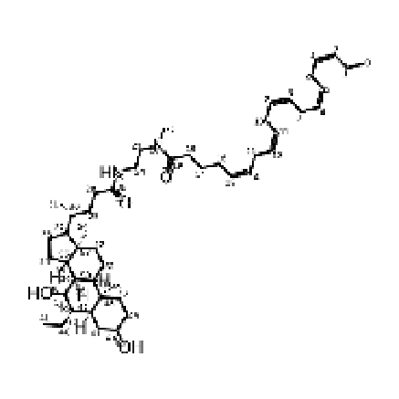 CC/C=C\C/C=C\C/C=C\C/C=C\C/C=C\CCCC(=O)N(C)CCNC(=O)CC[C@@H](C)C1CC[C@H]2[C@@H]3[C@H](O)[C@H](CC)[C@@H]4C[C@H](O)CC[C@]4(C)[C@H]3CC[C@]12C